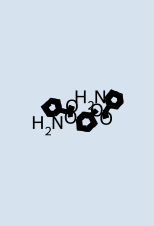 Nc1ccccc1C(=O)Oc1cccc(OC(=O)c2ccccc2N)c1